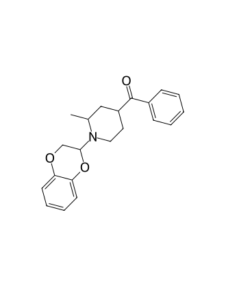 CC1CC(C(=O)c2ccccc2)CCN1C1COc2ccccc2O1